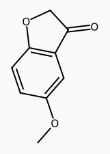 COc1ccc2c(c1)C(=O)CO2